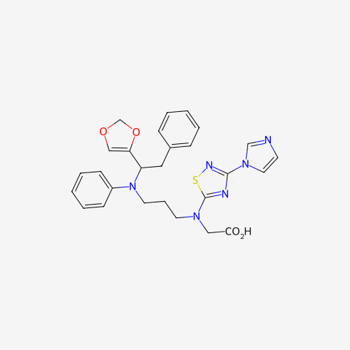 O=C(O)CN(CCCN(c1ccccc1)C(Cc1ccccc1)C1=COCO1)c1nc(-n2ccnc2)ns1